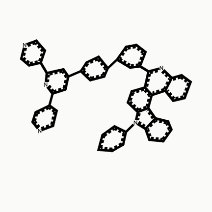 c1ccc(-n2c3ccccc3c3c4c(ccc32)c(-c2cccc(-c3ccc(-c5cc(-c6ccncc6)nc(-c6ccncc6)c5)cc3)c2)nc2ccccc24)cc1